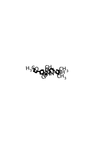 COc1ccc(N2C[C@@H](C)N[C@@H](C)C2)nc1NS(=O)(=O)c1ccc(-c2ccc(C)o2)cc1Cl